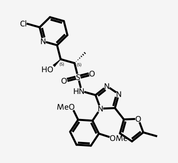 COc1cccc(OC)c1-n1c(NS(=O)(=O)[C@@H](C)[C@@H](O)c2cccc(Cl)n2)nnc1-c1ccc(C)o1